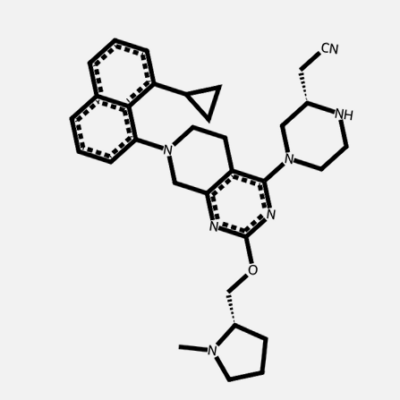 CN1CCC[C@H]1COc1nc2c(c(N3CCN[C@@H](CC#N)C3)n1)CCN(c1cccc3cccc(C4CC4)c13)C2